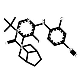 [C-]#[N+]c1ccc(Nc2ncnc(OC3C4CCC3CN(C(=O)OC(C)(C)C)C4)c2F)c(Cl)c1